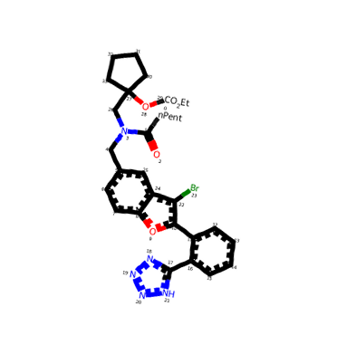 CCCCCC(=O)N(Cc1ccc2oc(-c3ccccc3-c3nnn[nH]3)c(Br)c2c1)CC1(OC(=O)OCC)CCCC1